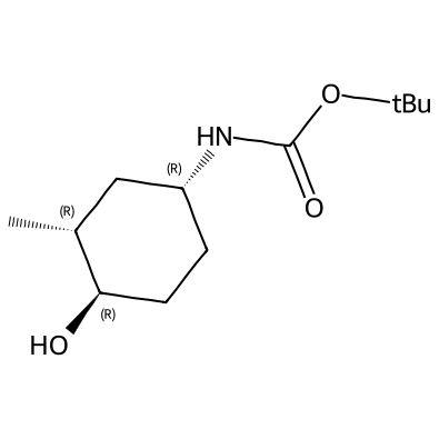 C[C@@H]1C[C@H](NC(=O)OC(C)(C)C)CC[C@H]1O